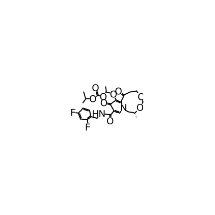 CC(C)OC(=O)OC(C)Oc1c2n(cc(C(=O)NCc3ccc(F)cc3F)c1=O)C[C@@H](C)OCCCCC2=O